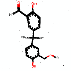 CCCC(CCC)(c1ccc(O)c(COCC)c1)c1ccc(O)c(C(=O)CC)c1